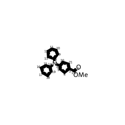 COC(=O)c1ccc(N(c2ccccc2)c2ccccc2)cc1